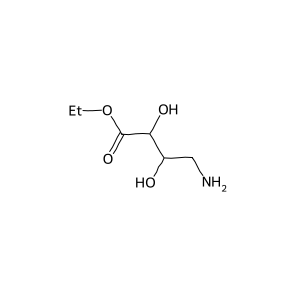 CCOC(=O)C(O)C(O)CN